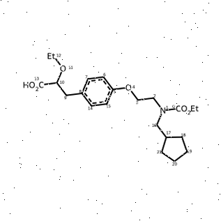 CCOC(=O)N(CCOc1ccc(CC(OCC)C(=O)O)cc1)CC1CCCC1